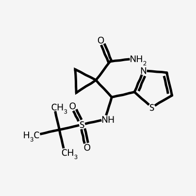 CC(C)(C)S(=O)(=O)N[C](c1nccs1)C1(C(N)=O)CC1